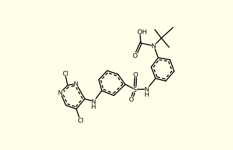 CC(C)(C)N(C(=O)O)c1cccc(NS(=O)(=O)c2cccc(Nc3nc(Cl)ncc3Cl)c2)c1